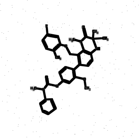 COc1cc(OC(=O)N(C)c2ccccc2)ccc1-c1ccc2c(c1COc1cc(F)ccc1C)N(C)C(=O)C(C)(C)N2